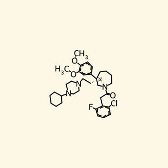 COc1ccc([C@@]2(CCN3CCN(C4CCCCC4)CC3)CCCCN(C(=O)Cc3c(F)cccc3Cl)C2)cc1OC